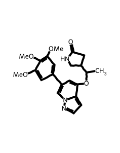 COc1cc(-c2cc(OC(C)C3CNC(=O)C3)c3ccnn3c2)cc(OC)c1OC